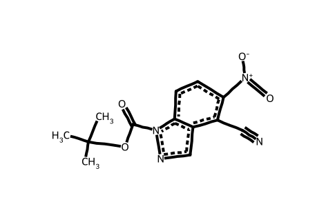 CC(C)(C)OC(=O)n1ncc2c(C#N)c([N+](=O)[O-])ccc21